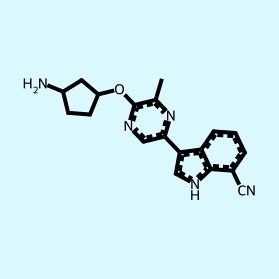 Cc1nc(-c2c[nH]c3c(C#N)cccc23)cnc1OC1CCC(N)C1